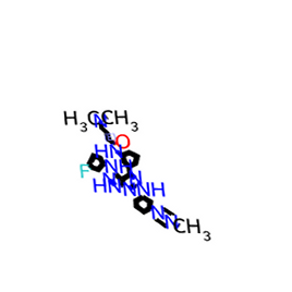 CN(C)C/C=C/C(=O)Nc1cccc(-c2nc(Nc3cccc(N4CCN(C)CC4)c3)nc3[nH]nc(Nc4cccc(F)c4)c23)c1